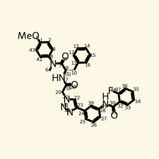 COc1ccc(N(C)C(=O)[C@H](Cc2ccccc2)NC(=O)Cn2cc(-c3cccc(NC(=O)c4ccccc4F)c3)nn2)cc1